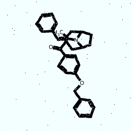 CC(C(=O)c1ccc(OCc2ccccc2)cc1)N1C2CCC1CC(=Cc1ccccc1)C2